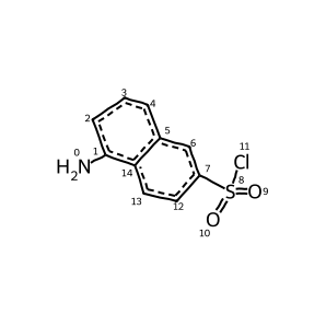 Nc1cccc2cc(S(=O)(=O)Cl)ccc12